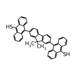 CC1(C)c2cc(-c3c4ccccc4c(S)c4ccccc34)ccc2-c2ccc(-c3c4ccccc4c(S)c4ccccc34)cc21